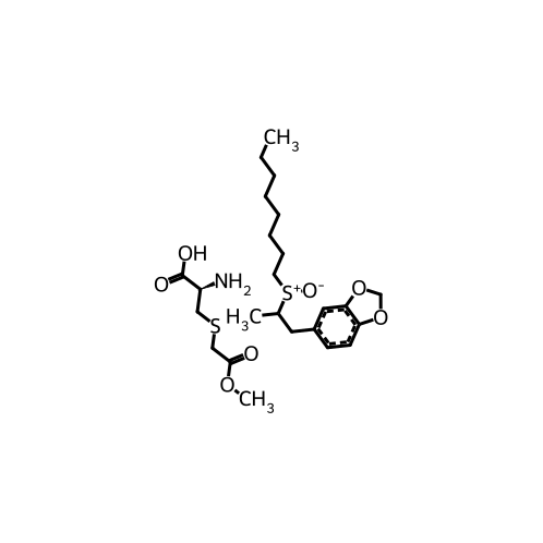 CCCCCCCC[S+]([O-])C(C)Cc1ccc2c(c1)OCO2.COC(=O)CSC[C@H](N)C(=O)O